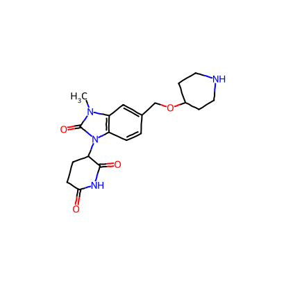 Cn1c(=O)n(C2CCC(=O)NC2=O)c2ccc(COC3CCNCC3)cc21